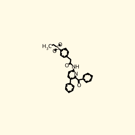 CCS(=O)(=O)c1ccc(CC(=O)Nc2ccc(-c3ccccc3)c(C(=O)c3ccccc3)n2)cc1